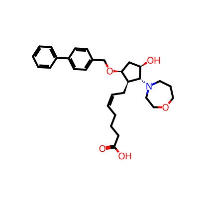 O=C(O)CCC/C=C\C[C@@H]1[C@@H](N2CCCOCC2)[C@H](O)C[C@@H]1OCc1ccc(-c2ccccc2)cc1